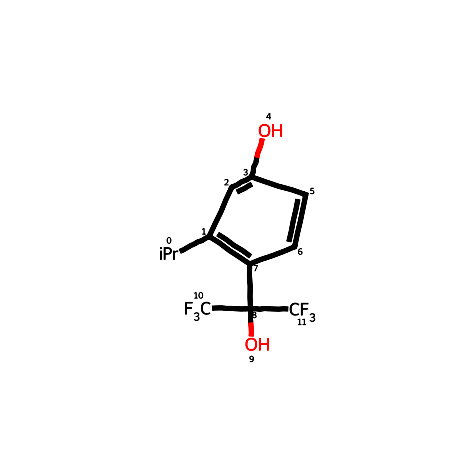 CC(C)c1cc(O)ccc1C(O)(C(F)(F)F)C(F)(F)F